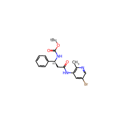 Cc1ncc(Br)cc1NC(=O)C[C@H](NC(=O)OC(C)(C)C)c1ccccc1